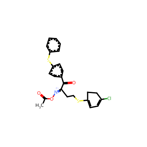 CC(=O)O/N=C(\CCSC1=CC=C(Cl)CC1)C(=O)c1ccc(Sc2ccccc2)cc1